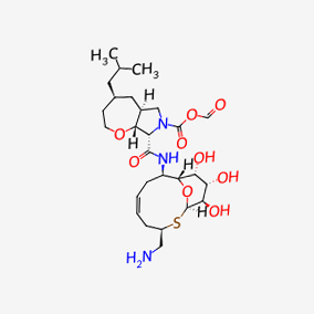 CC(C)C[C@@H]1CCO[C@@H]2[C@@H](C1)CN(C(=O)OC=O)[C@@H]2C(=O)N[C@@H]1C/C=C\C[C@H](CN)S[C@H]2O[C@H]1[C@H](O)[C@H](O)[C@H]2O